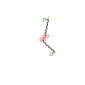 O=C(CCCCCCCCC(F)Cl)OOC(=O)CCCCCCCCC(F)Cl